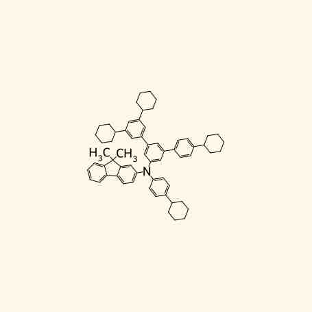 CC1(C)c2ccccc2-c2ccc(N(c3ccc(C4CCCCC4)cc3)c3cc(-c4ccc(C5CCCCC5)cc4)cc(-c4cc(C5CCCCC5)cc(C5CCCCC5)c4)c3)cc21